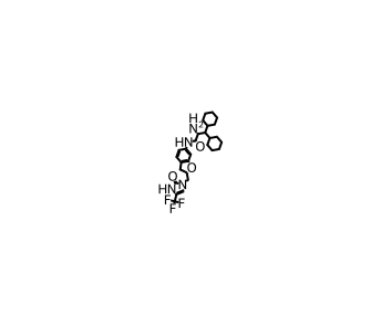 N[C@H](C(=O)Nc1ccc2c(c1)OC(Cn1cc(C(F)(F)F)[nH]c1=O)C2)C(C1CCCCC1)C1CCCCC1